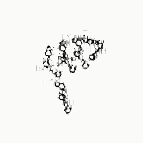 Brc1cnc(Nc2ccc3cc[nH]c3c2)nc1NCCc1ccccn1.Brc1cnc(Nc2ccc3cc[nH]c3c2)nc1NCc1ccccn1.Cc1cc2cc(Nc3ncc(Br)c(NCc4ccccn4)n3)ccc2[nH]1.Cc1cc2cc(Nc3nccc(NCc4ccccn4)n3)ccc2[nH]1.c1ccc(CNc2ccnc(Nc3ccc4cc[nH]c4c3)n2)nc1